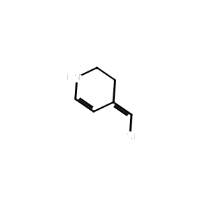 NC=C1C=CNCC1